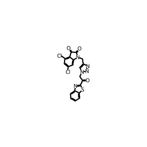 O=C(Cn1cc(CN2C(=O)C(=O)c3c(Cl)cc(Cl)cc32)nn1)c1nc2ccccc2s1